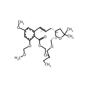 CCCCOC[C@H]1OC(C)(C)C[C@H]1C/C=C/c1cc(OC)cc(OCOC)c1C(=O)OCC